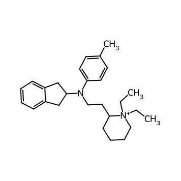 CC[N+]1(CC)CCCCC1CCN(c1ccc(C)cc1)C1Cc2ccccc2C1